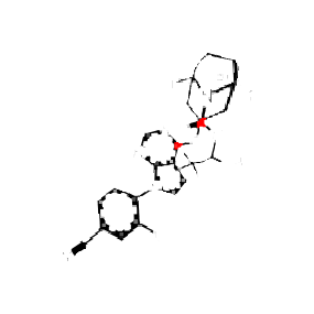 CC(OC(=O)N1[C@H]2CC[C@H]1CC(Oc1ncnc3c1ccn3-c1ccc(C#N)cc1Cl)C2)C(F)(F)F